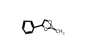 CB1OCC(c2ccccc2)O1